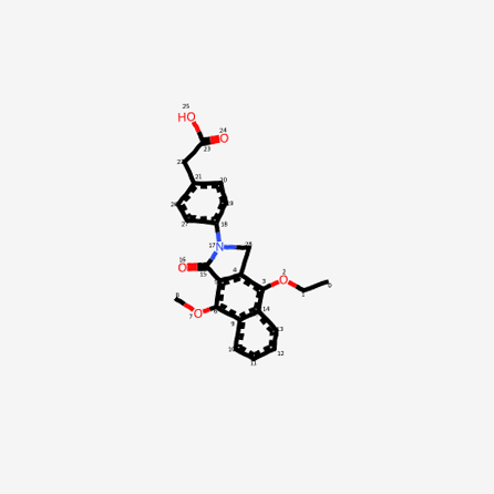 CCOc1c2c(c(OC)c3ccccc13)C(=O)N(c1ccc(CC(=O)O)cc1)C2